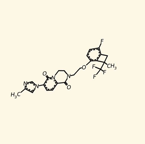 Cc1cn(-c2ccc3n(c2=O)CCN(CCOc2ccc(F)c4c2C(C)(C(F)(F)F)C4)C3=O)cn1